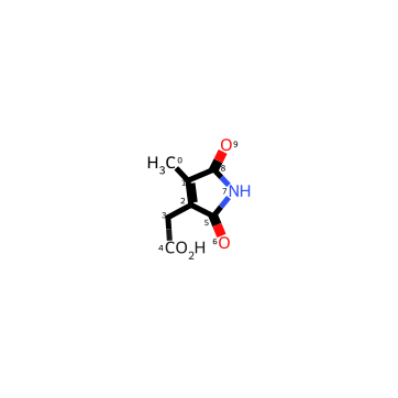 CC1=C(CC(=O)O)C(=O)NC1=O